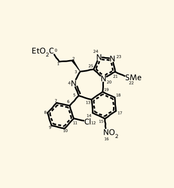 CCOC(=O)CC[C@@H]1N=C(c2ccccc2Cl)c2cc([N+](=O)[O-])ccc2-n2c(SC)nnc21